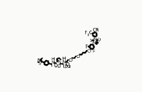 Cc1ncsc1-c1ccc([C@H](C)NC(=O)[C@@H]2CCCN2C(=O)C(NC(=O)COCCCOCCCCCOc2c(F)cc(N3C(=S)N(c4ccc(C#N)c(C(F)(F)F)c4)C(=O)C3(C)C)cc2F)C(C)(C)C)cc1